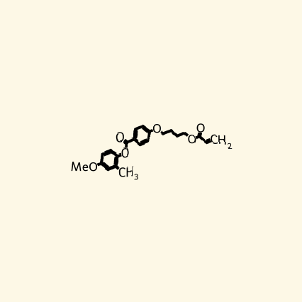 C=CC(=O)OCCCCOc1ccc(C(=O)Oc2ccc(OC)cc2C)cc1